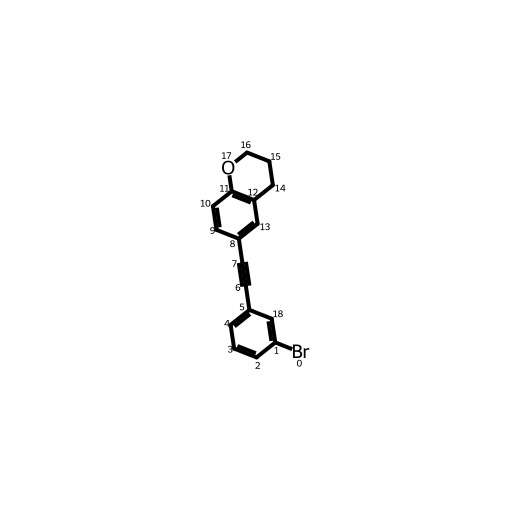 Brc1cccc(C#Cc2ccc3c(c2)CCCO3)c1